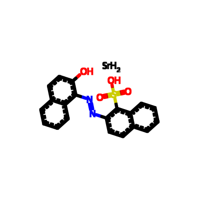 O=S(=O)(O)c1c(N=Nc2c(O)ccc3ccccc23)ccc2ccccc12.[SrH2]